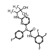 CC(Nc1nccc(N(C(=O)Nc2cc(F)cc(F)c2F)c2ccc(F)cc2)n1)C(C)(C)O